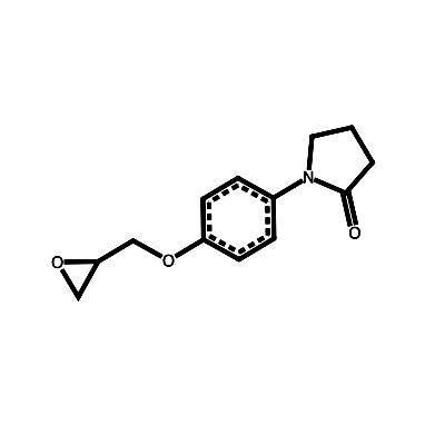 O=C1CCCN1c1ccc(OCC2CO2)cc1